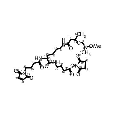 CON(C)COC(C)CC(=O)NCCCC[C@H](NC(=O)CCCN1C(=O)C=CC1=O)C(=O)NCCCC(=O)ON1C(=O)CCC1=O